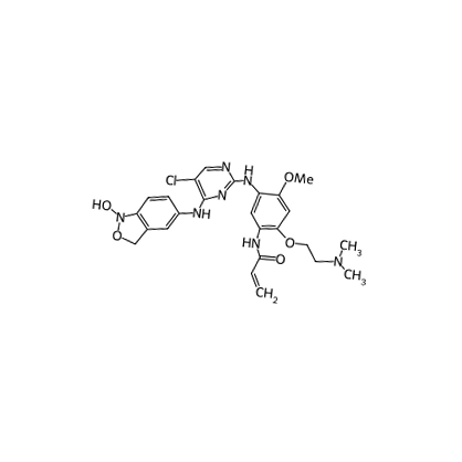 C=CC(=O)Nc1cc(Nc2ncc(Cl)c(Nc3ccc4c(c3)CON4O)n2)c(OC)cc1OCCN(C)C